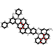 C=C(/C=C(F)\C(=C(/C)c1ccccc1)N(c1ccccc1)c1ccc2c(c1)Sc1cccc3c1c-2cc1ccc(N(c2ccccc2)c2c(F)cc(-c4ccccc4)cc2-c2ccccc2)cc13)c1ccccc1